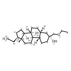 CCOC[C@@]1(O)CC[C@H]2[C@H](CC[C@@H]3[C@@H]2CC[C@]2(C)[C@@H](CN)CC[C@@H]32)C1